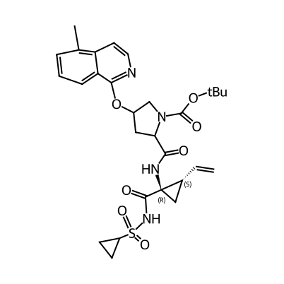 C=C[C@@H]1C[C@]1(NC(=O)C1CC(Oc2nccc3c(C)cccc23)CN1C(=O)OC(C)(C)C)C(=O)NS(=O)(=O)C1CC1